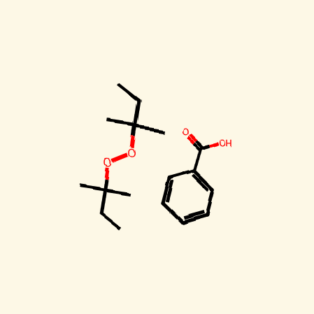 CCC(C)(C)OOC(C)(C)CC.O=C(O)c1ccccc1